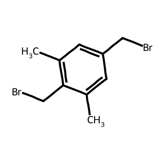 Cc1cc(CBr)cc(C)c1CBr